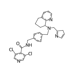 O=C(NCc1ccc(CN(CC2=NC=CC2)C2CCCc3cccnc32)cc1)c1c(Cl)cncc1Cl